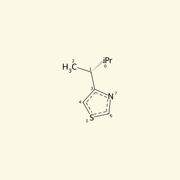 CC(C)[C@@H](C)c1cscn1